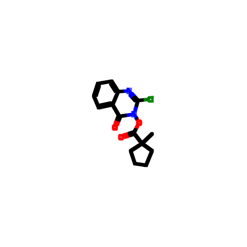 CC1(C(=O)On2c(Cl)nc3ccccc3c2=O)CCCC1